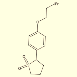 CC(C)CCOc1ccc(C2CCCS2(=O)=O)cc1